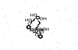 CC(NC(=O)CCC/C=C\C[C@@H]1[C@@H](/C=C/[C@@H](O)COc2cccc(Cl)c2)[C@H](O)C[C@@H]1O)C(=O)Oc1ccccc1CON(O)O